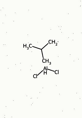 [CH2]C(C)C.[Cl][AlH][Cl]